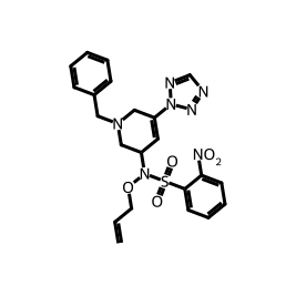 C=CCON(C1C=C(n2ncnn2)CN(Cc2ccccc2)C1)S(=O)(=O)c1ccccc1[N+](=O)[O-]